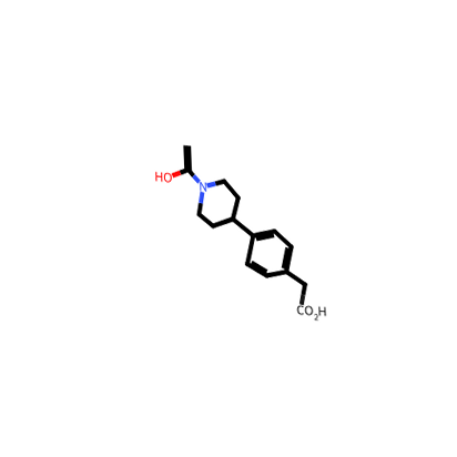 C=C(O)N1CCC(c2ccc(CC(=O)O)cc2)CC1